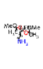 CC[Si](CCCN)(OC(C)OC)OC(C)OC